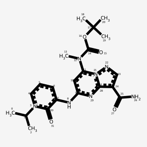 CC(C)n1cccc(Nc2cc(N(C)C(=O)OC(C)(C)C)n3ncc(C(N)=O)c3n2)c1=O